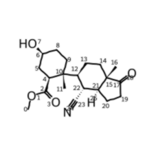 COC(=O)[C@H]1C[C@@H](O)CC[C@]1(C)[C@H]1CC[C@]2(C)C(=O)CC[C@H]2[C@@H]1C#N